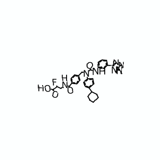 Cn1nnc(-c2cccc(NC(=O)N(Cc3ccc(C(=O)NCC(F)C(=O)O)cc3)c3ccc(C4CCCCC4)cc3)c2)n1